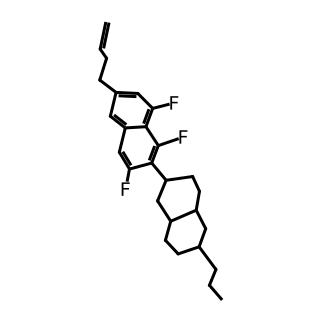 C=CCCc1cc(F)c2c(F)c(C3CCC4CC(CCC)CCC4C3)c(F)cc2c1